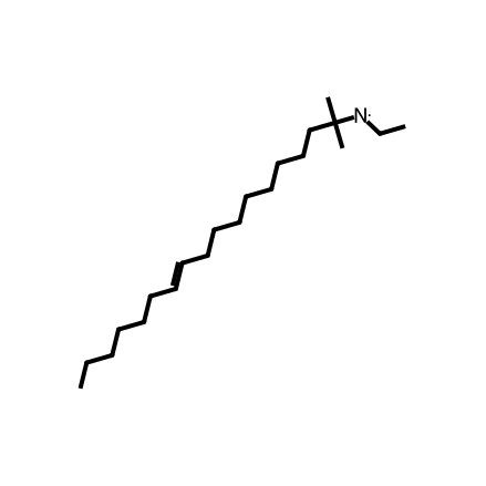 CCCCCCC=CCCCCCCCCC(C)(C)[N]CC